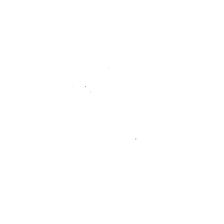 CCC(C)C(=O)OCC(CO)C(=O)NC(C)=O